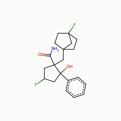 NC(=O)C1(CC23CCC(F)(CC2)C3)CC(F)CC1(O)c1ccccc1